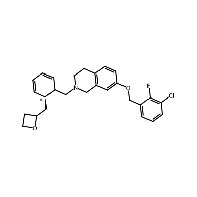 Fc1c(Cl)cccc1COc1ccc2c(c1)CN(CC1C=CC=C[C@@H]1CC1CCO1)CC2